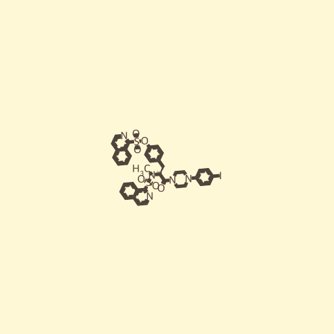 CN([C@@H](Cc1ccc(OS(=O)(=O)c2nccc3ccccc23)cc1)C(=O)N1CCN(c2ccc(I)cc2)CC1)S(=O)(=O)c1nccc2ccccc12